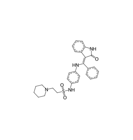 O=C1Nc2ccccc2C1=C(Nc1ccc(NS(=O)(=O)CCN2CCCCC2)cc1)c1ccccc1